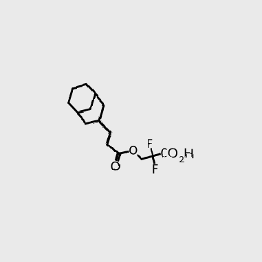 O=C(CCC1CC2CCCC(C2)C1)OCC(F)(F)C(=O)O